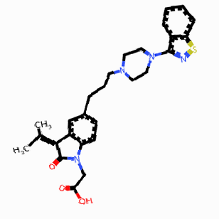 CC(C)=C1C(=O)N(CC(=O)O)c2ccc(CCCN3CCN(c4nsc5ccccc45)CC3)cc21